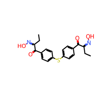 CC/C(=N/O)C(=O)c1ccc(Sc2ccc(C(=O)/C(CC)=N\O)cc2)cc1